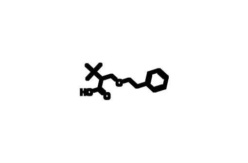 CC(C)(C)C(COCCc1ccccc1)C(=O)O